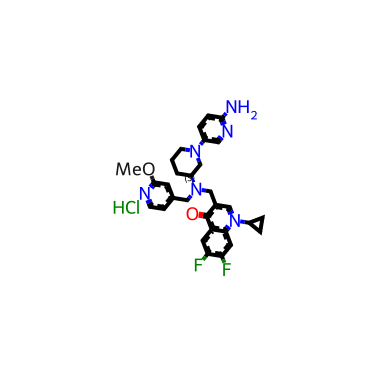 COc1cc(CN(Cc2cn(C3CC3)c3cc(F)c(F)cc3c2=O)[C@H]2CCCN(c3ccc(N)nc3)C2)ccn1.Cl